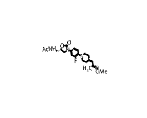 CO/N=C(\C)C=C1CCN(c2ccc(N3C[C@H](CNC(C)=O)OC3=O)cc2F)CC1